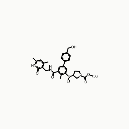 CCN(c1cc(-c2ccc(CO)cc2)cc(C(=O)NCc2c(C)cc(C)[nH]c2=O)c1C)C1CCN(C(=O)OC(C)(C)C)C1